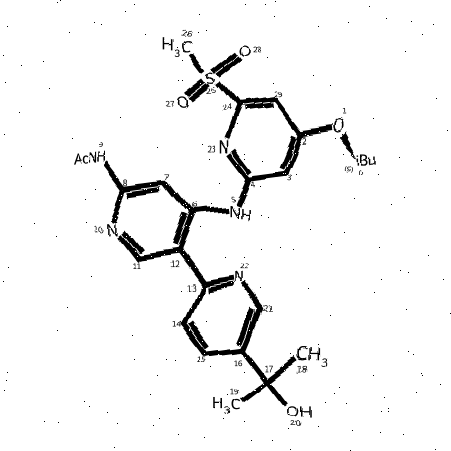 CC[C@H](C)Oc1cc(Nc2cc(NC(C)=O)ncc2-c2ccc(C(C)(C)O)cn2)nc(S(C)(=O)=O)c1